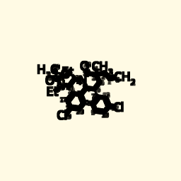 C=CC[C@@]1(C)C[C@H](c2cccc(Cl)c2)C(c2ccc(Cl)cc2)N([C@@H](CC)CN(CC)S(C)(=O)=O)C1=O